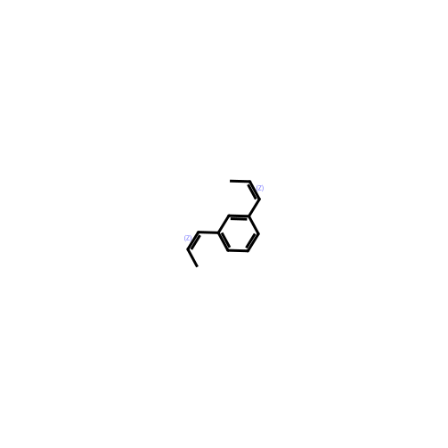 C/C=C\c1cccc(/C=C\C)c1